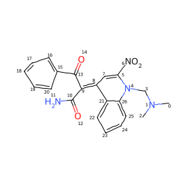 CN(C)CN1C([N+](=O)[O-])=C/C(=C(/C(N)=O)C(=O)c2ccccc2)c2ccccc21